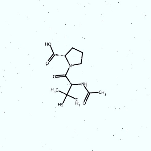 CC(=O)NC(C(=O)N1CCC[C@H]1C(=O)O)C(C)(C)S